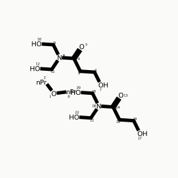 CCCOCCC.O=C(CCO)N(CO)CO.O=C(CCO)N(CO)CO